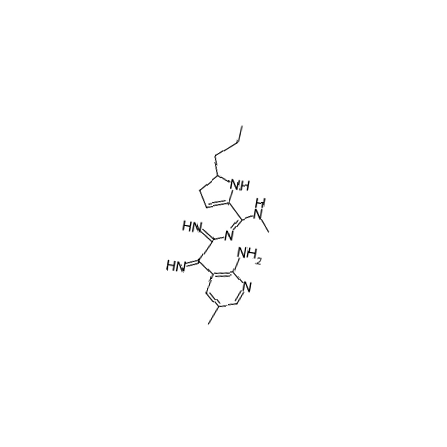 CCCC1CC=C(/C(=N\C(=N)C(=N)c2cc(C)cnc2N)NC)N1